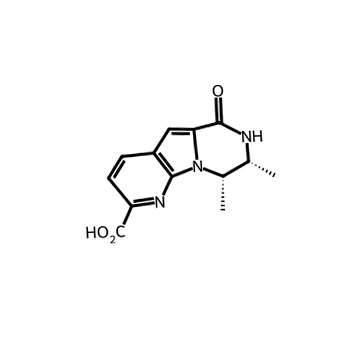 C[C@H]1NC(=O)c2cc3ccc(C(=O)O)nc3n2[C@H]1C